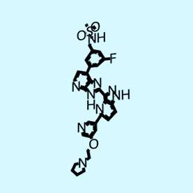 CS(=O)(=O)NCc1cc(F)cc(-c2ccnc3[nH]c(-c4n[nH]c5ccc(-c6cncc(OCCN7CCCC7)c6)nc45)nc23)c1